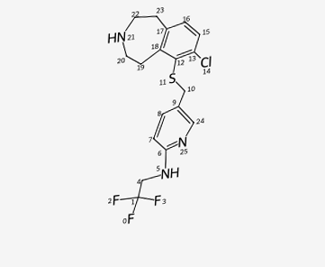 FC(F)(F)CNc1ccc(CSc2c(Cl)ccc3c2CCNCC3)cn1